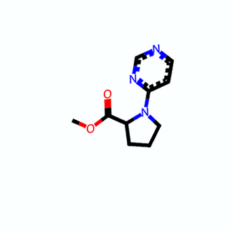 COC(=O)C1CCCN1c1ccncn1